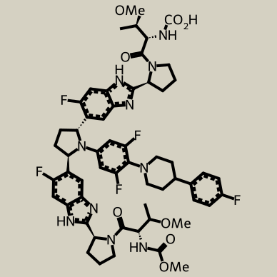 COC(=O)N[C@H](C(=O)N1CCC[C@H]1c1nc2cc([C@H]3CC[C@H](c4cc5nc([C@@H]6CCCN6C(=O)[C@@H](NC(=O)O)[C@@H](C)OC)[nH]c5cc4F)N3c3cc(F)c(N4CCC(c5ccc(F)cc5)CC4)c(F)c3)c(F)cc2[nH]1)C(C)OC